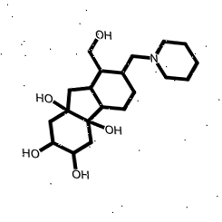 OCC1C(CN2CCCCC2)CCC2C1CC1(O)CC(O)C(O)CC21O